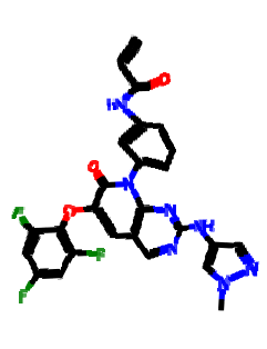 C=CC(=O)Nc1cccc(-n2c(=O)c(Oc3c(F)cc(F)cc3F)cc3cnc(Nc4cnn(C)c4)nc32)c1